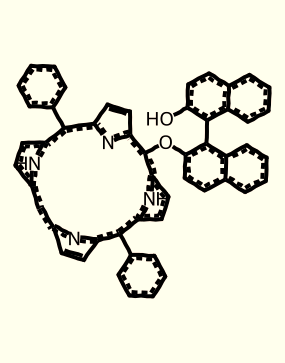 Oc1ccc2ccccc2c1-c1c(Oc2c3nc(c(-c4ccccc4)c4ccc(cc5nc(c(-c6ccccc6)c6ccc2[nH]6)C=C5)[nH]4)C=C3)ccc2ccccc12